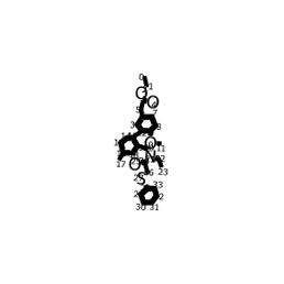 CCOC(=O)Cc1ccc(OC)c(-c2ccc(C)cc2CN(CC)C(=O)CSc2ccccc2)c1